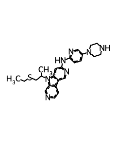 CCSCC(C)n1c2cnccc2c2cnc(Nc3ccc(N4CCNCC4)cn3)cc21